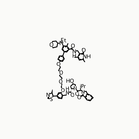 CCN(c1cc(-c2ccc(OCCOCCOCCOc3cc(C4SC=NC4C)ccc3CNC(=O)[C@@H]3C[C@@H](O)CN3C(=O)C(C(C)C)N3Cc4ccccc4C3=O)cc2)cc(C(=O)NCc2c(C)cc(C)[nH]c2=O)c1C)C1CCOCC1